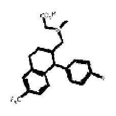 CN(CC(=O)O)CC1CCc2cc(C(F)(F)F)ccc2C1c1ccc(F)cc1